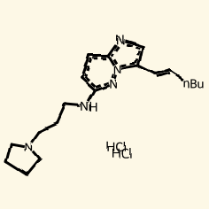 CCCCC=Cc1cnc2ccc(NCCCN3CCCC3)nn12.Cl.Cl